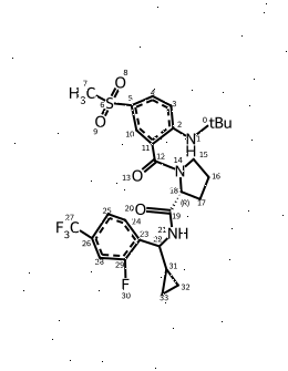 CC(C)(C)Nc1ccc(S(C)(=O)=O)cc1C(=O)N1CCC[C@@H]1C(=O)NC(c1ccc(C(F)(F)F)cc1F)C1CC1